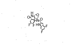 O=C(N[C@@H]1COCc2[nH]c(=O)c3cc(F)c(F)cc3c21)c1cc2c(F)cc(F)cc2[nH]1